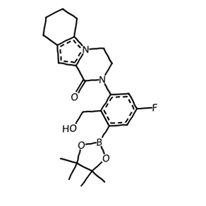 CC1(C)OB(c2cc(F)cc(N3CCn4c(cc5c4CCCC5)C3=O)c2CO)OC1(C)C